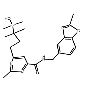 Cc1nc(CCC(C)(C)[Si](C)(C)O)cc(C(=O)NCc2ccc3oc(C)nc3c2)n1